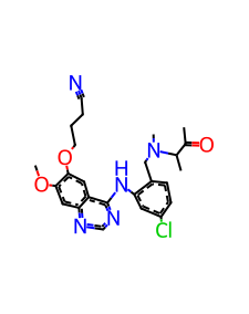 COc1cc2ncnc(Nc3cc(Cl)ccc3CN(C)C(C)C(C)=O)c2cc1OCCCC#N